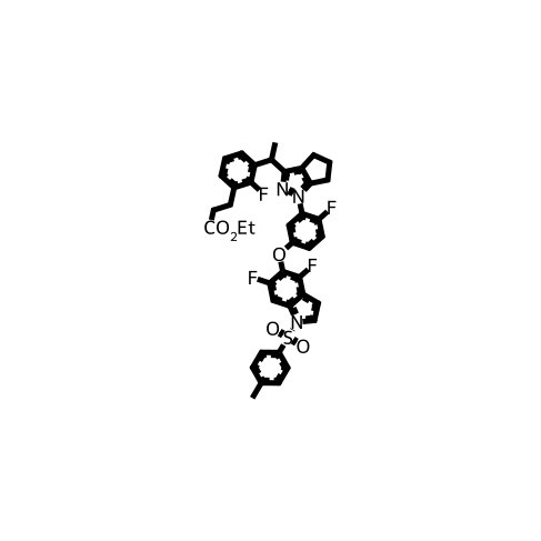 CCOC(=O)CCc1cccc(C(C)c2nn(-c3cc(Oc4c(F)cc5c(ccn5S(=O)(=O)c5ccc(C)cc5)c4F)ccc3F)c3c2CCC3)c1F